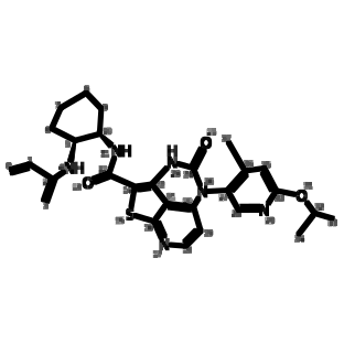 C=CC(=C)N[C@H]1CCCC[C@H]1NC(=O)c1sc2nccc3c2c1NC(=O)N3c1cnc(OC(C)C)cc1C